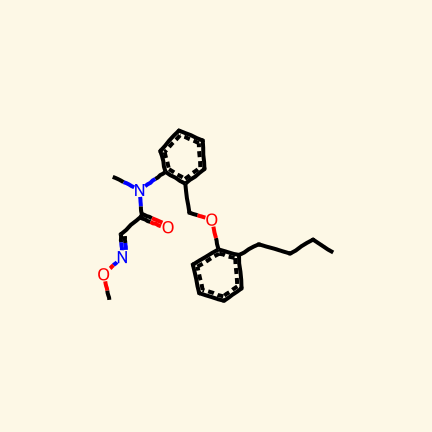 CCCCc1ccccc1OCc1ccccc1N(C)C(=O)C=NOC